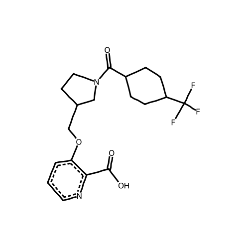 O=C(O)c1ncccc1OCC1CCN(C(=O)C2CCC(C(F)(F)F)CC2)C1